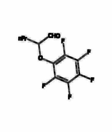 CCCC(C=O)Oc1c(F)c(F)c(F)c(F)c1F